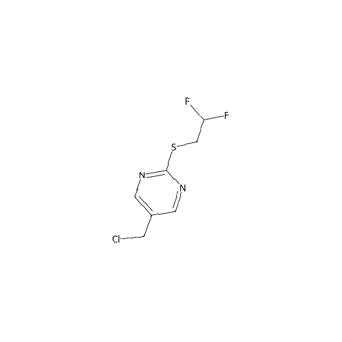 FC(F)CSc1ncc(CCl)cn1